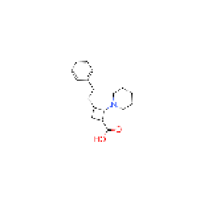 O=C(O)C1CC(CCc2ccccc2)C1N1CCCCC1